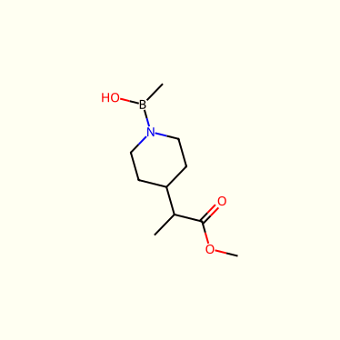 COC(=O)C(C)C1CCN(B(C)O)CC1